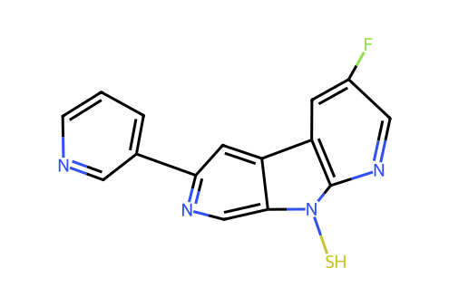 Fc1cnc2c(c1)c1cc(-c3cccnc3)ncc1n2S